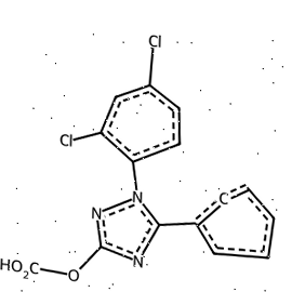 O=C(O)Oc1nc(-c2ccccc2)n(-c2ccc(Cl)cc2Cl)n1